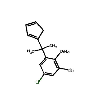 COc1c(C(C)(C)C)cc(Cl)cc1C(C)(C)C1=CC=CC1